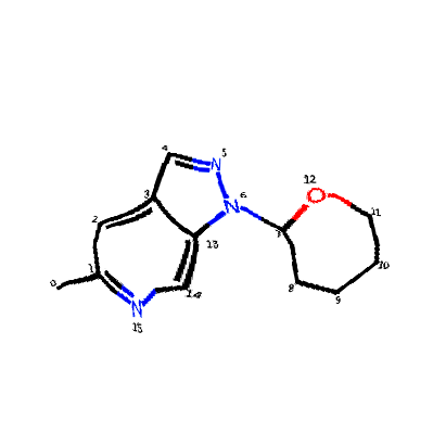 Cc1cc2cnn(C3CCCCO3)c2cn1